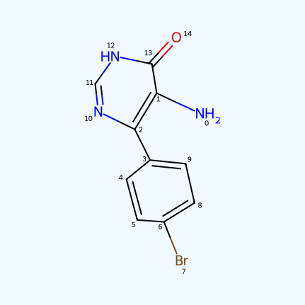 Nc1c(-c2ccc(Br)cc2)nc[nH]c1=O